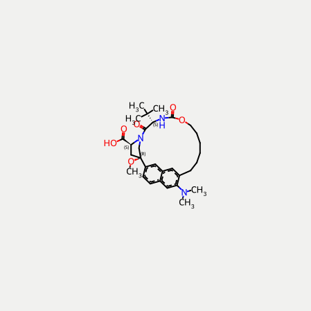 CO[C@@]12C[C@@H](C(=O)O)N(C1)C(=O)[C@H](C(C)(C)C)NC(=O)OCCCCCCc1cc3cc2ccc3cc1N(C)C